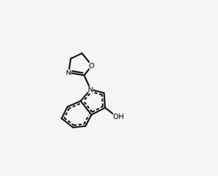 Oc1cn(C2=NCCO2)c2ccccc12